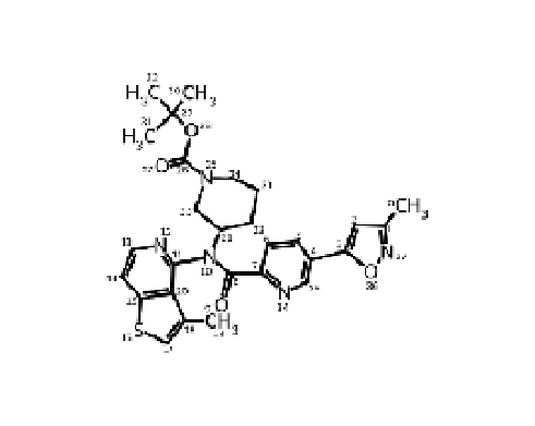 Cc1cc(-c2ccc(C(=O)N(c3nccc4scc(C)c34)[C@@H]3CCCN(C(=O)OC(C)(C)C)C3)nc2)on1